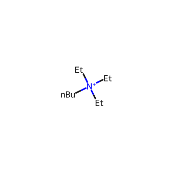 [CH2]CCC[N+](CC)(CC)CC